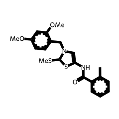 COc1ccc(CN2C=C(NC(=O)c3ccccc3C)SC2SC)c(OC)c1